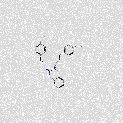 COc1ccc(CCN=c2[nH]c3ccccc3[nH]c2=NCCc2ccc(OC)cc2)cc1